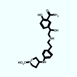 NC(=O)c1cc(C(O)CNCCc2ccc(NC3CCN(C(=O)O)CC3)cc2)ccc1O